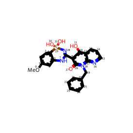 COc1ccc2c(c1)NC(c1c(O)c3cccnc3n(Cc3ccccc3)c1=O)=NS2(O)O